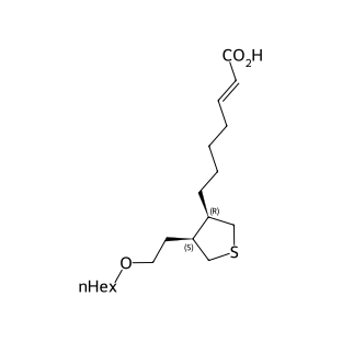 CCCCCCOCC[C@@H]1CSC[C@@H]1CCCCC=CC(=O)O